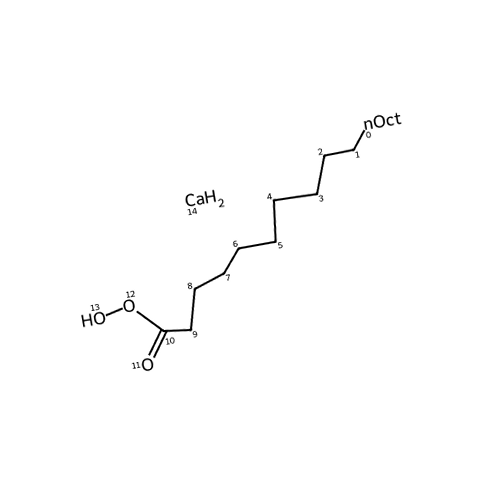 CCCCCCCCCCCCCCCCCC(=O)OO.[CaH2]